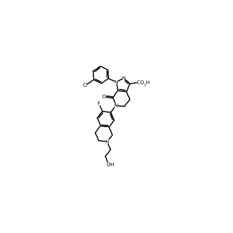 O=C(O)c1nn(-c2cccc(Cl)c2)c2c1CCN(c1cc3c(cc1F)CCN(CCO)C3)C2=O